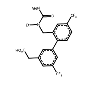 CCN(Cc1cc(C(F)(F)F)ccc1-c1cc(CC(=O)O)cc(C(F)(F)F)c1)C(=O)NC